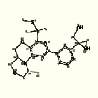 CSC(C)(C)c1nc(-c2cccc(C3(CO)CN3)c2)nc2c1OCC1COC[C@@H](C)N21